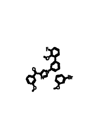 COc1cccc(Br)c1.COc1cccc(C(=O)c2cn(-c3cccc(-c4cccc(F)c4OC)c3)cn2)c1